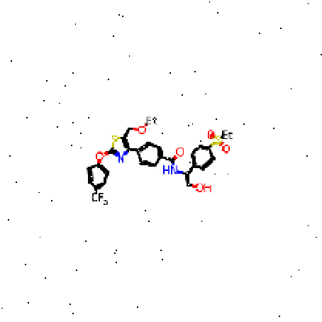 CCOCc1sc(Oc2ccc(C(F)(F)F)cc2)nc1-c1ccc(C(=O)NC(CO)c2ccc(S(=O)(=O)CC)cc2)cc1